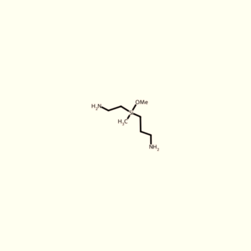 CO[Si](C)(CCN)CCCN